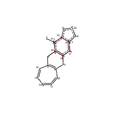 CN1CN=CC2=C1C1C3=C(C=C=NC=C3)C2c2cc3cscc3cc21